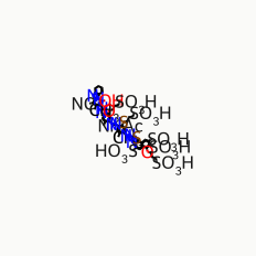 CC(=O)Nc1cc(N=Nc2c(C)c(C#N)c3nc4c(n3c2O)C=CCC4)c(OCCCS(=O)(=O)O)cc1N=Nc1cc(C)c(N=Nc2nc3c(S(=O)(=O)O)cc4c(OCCCS(=O)(=O)O)c(S(=O)(=O)O)c(S(=O)(=O)O)cc4c3s2)cc1SCCCS(=O)(=O)O